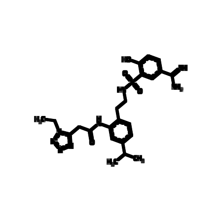 CCn1nnnc1CC(=O)Nc1cc(C(C)C)ccc1CCNS(=O)(=O)c1cc(C(=N)N)ccc1O